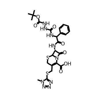 Cn1nnnc1SCC1=C(C(=O)O)N2C(=O)[C@H](NC(=O)C(NC(=O)NNC(=O)OC(C)(C)C)c3ccccc3)C2SC1